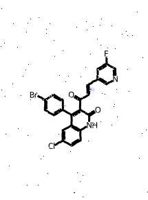 O=C(/C=C/c1cncc(F)c1)c1c(-c2ccc(Br)cc2)c2cc(Cl)ccc2[nH]c1=O